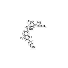 CNc1ncc(C(=O)Nc2cc(C(=O)Nc3cc(-n4cnc(C)c4)cc(C(F)(F)F)c3)ccc2C)s1